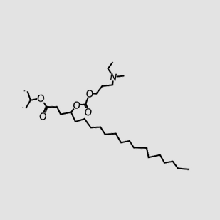 [CH2]C([CH2])OC(=O)CCC(CCCCCCCCCCCCCCCC)OC(=O)OCCCN(C)CC